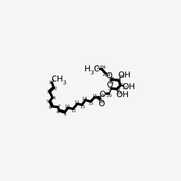 CCC=CC/C=C\C/C=C\CCCCCCCC(=O)OC[C@H]1O[C@H](OCCC)[C@H](O)[C@@H](O)[C@@H]1O